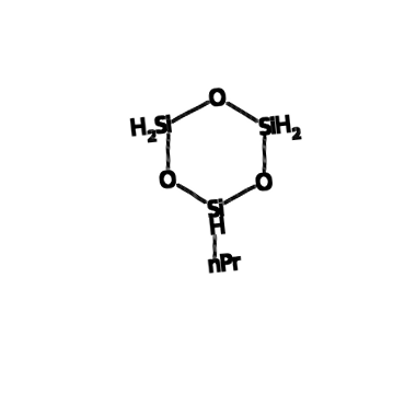 CCC[SiH]1O[SiH2]O[SiH2]O1